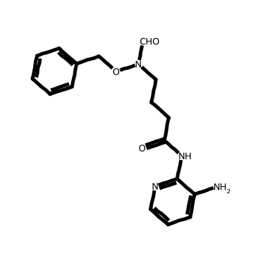 Nc1cccnc1NC(=O)CCCN(C=O)OCc1ccccc1